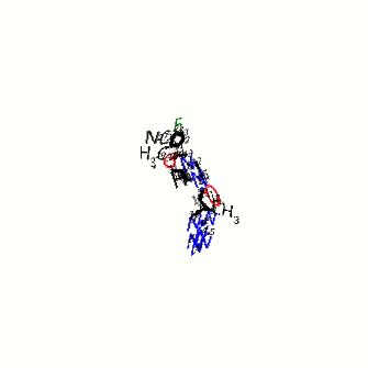 Cc1nc(-n2cnnn2)ncc1CC(=O)N1CCN2C[C@@H](c3ccc(F)c(C#N)c3C)OC[C@@H]2C1